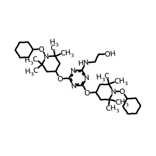 CC1(C)CC(Oc2nc(NCCO)nc(OC3CC(C)(C)N(OC4CCCCC4)C(C)(C)C3)n2)CC(C)(C)N1OC1CCCCC1